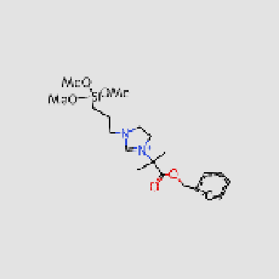 CO[Si](CCCN1C=[N+](C(C)(C)C(=O)OCc2ccccc2)CC1)(OC)OC